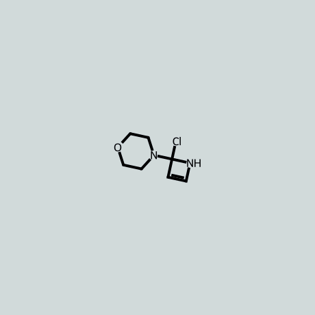 ClC1(N2CCOCC2)C=CN1